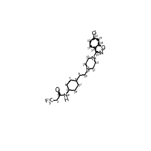 O=C(CC(F)(F)F)NC1CCC(CCN2CCN(c3noc4cc(Cl)ccc34)CC2)CC1